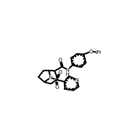 CC(C)Oc1ccc(NC(=O)C2CCC3CCC2N3S(=O)(=O)c2cccnc2)cc1